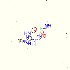 CC(C)n1cnc2c(NC3CCN(C(=O)OCC4(F)CNC4)CC3)cc(NC3CCOCC3)nc21